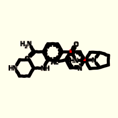 CC(=O)c1ccc(N2C3CCC2CC(NC(=O)c2ccc(C(N)=O)c(NC4CCNCC4)c2)C3)nc1